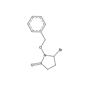 O=C1CCC(Br)N1OCc1ccccc1